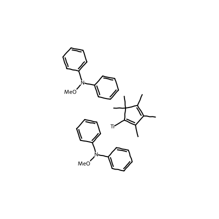 CC1=C(C)C(C)(C)[C]([Ti])=C1C.CON(c1ccccc1)c1ccccc1.CON(c1ccccc1)c1ccccc1